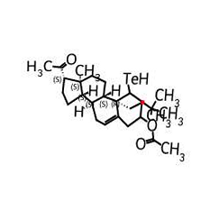 CC(=O)OC1CC2=CC[C@H]3[C@@H]4CC[C@H](C(C)=O)[C@@]4(C)CC[C@@H]3[C@@]2(CCC(C)(C)C)C([TeH])C1